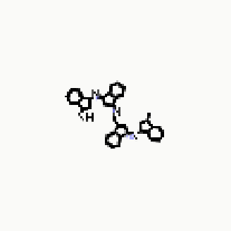 CC1CC(/N=C2\C=C(C/N=C3\C/C(=N\C4=CC(=N)c5ccccc54)c4ccccc43)c3ccccc32)=C2C=CC=CC21